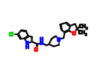 CC1(C)Cc2cccc(CN3CCC(CNC(=O)c4cc5ccc(Cl)cc5[nH]4)CC3)c2O1